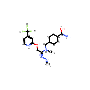 C=N/N=C(/COc1cc(C(F)(F)F)ccn1)N(C)CC1CCC(C(N)O)CC1